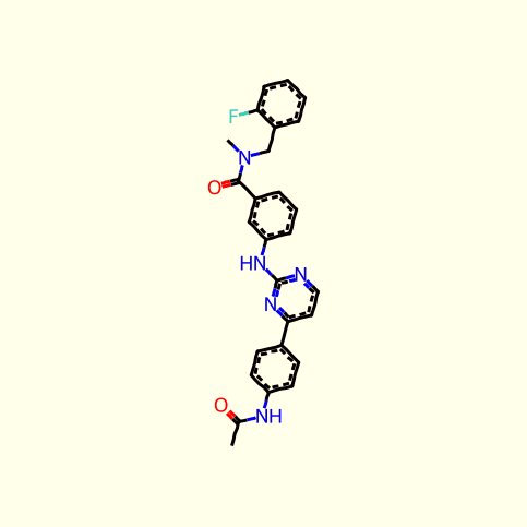 CC(=O)Nc1ccc(-c2ccnc(Nc3cccc(C(=O)N(C)Cc4ccccc4F)c3)n2)cc1